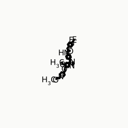 COCCN1CCC(COc2cc3ncnc(-c4ccc(NC(=O)Cc5ccc(C(F)(F)F)cc5)cc4)c3cc2OC)CC1